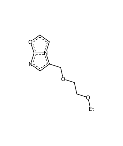 CCOCCOCc1cnc2occn12